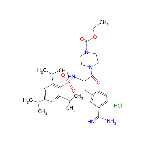 CCOC(=O)N1CCN(C(=O)[C@H](Cc2cccc(C(=N)N)c2)NS(=O)(=O)c2c(C(C)C)cc(C(C)C)cc2C(C)C)CC1.Cl